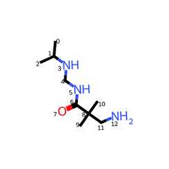 CC(C)NCNC(=O)C(C)(C)CN